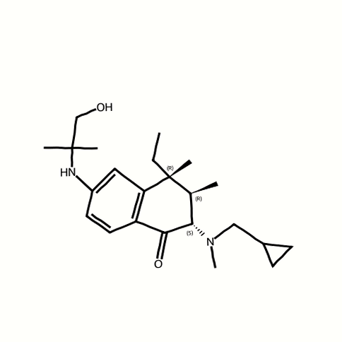 CC[C@@]1(C)c2cc(NC(C)(C)CO)ccc2C(=O)[C@@H](N(C)CC2CC2)[C@@H]1C